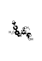 COc1nc(N2CC3(CO)CC2CO3)cc(-n2ncc3cc(C)c(C4CCN(C5COC5)CC4)cc32)n1